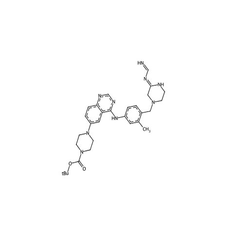 Cc1cc(Nc2ncnc3ccc(N4CCN(C(=O)OC(C)(C)C)CC4)cc23)ccc1CN1CCN/C(=N\C=N)C1